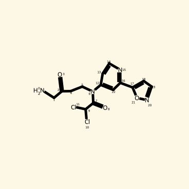 NCC(=O)CCN(C(=O)C(Cl)Cl)c1ccnc(-c2ccno2)c1